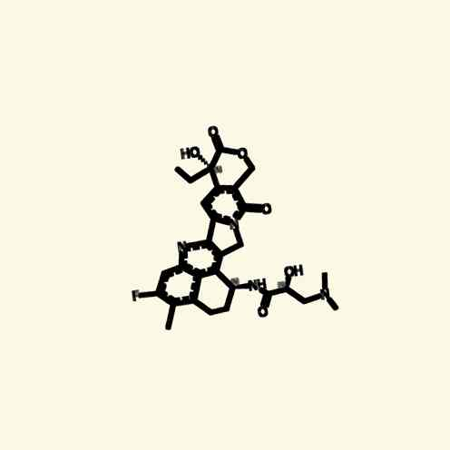 CC[C@@]1(O)C(=O)OCc2c1cc1n(c2=O)Cc2c-1nc1cc(F)c(C)c3c1c2[C@@H](NC(=O)[C@@H](O)CN(C)C)CC3